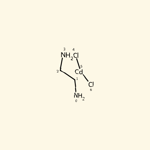 NCCN.[Cl][Cd][Cl]